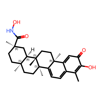 CC1=C(O)C(=O)C=C2C1=CC=C1[C@@]2(C)CC[C@@]2(C)[C@@H]3C[C@](C)(C(=O)NO)CC[C@]3(C)CC[C@]12C